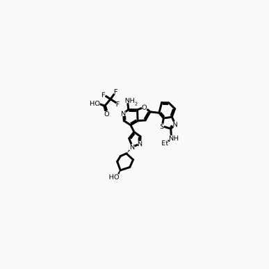 CCNc1nc2cccc(-c3cc4c(-c5cnn([C@H]6CC[C@H](O)CC6)c5)cnc(N)c4o3)c2s1.O=C(O)C(F)(F)F